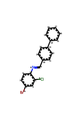 Clc1cc(Br)ccc1N=Cc1ccc(-c2ccccc2)cc1